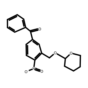 O=C(c1ccccc1)c1ccc([N+](=O)[O-])c(COC2CCCCO2)c1